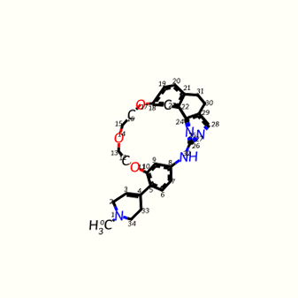 CN1CC=C(c2ccc3cc2OCCOCCOc2ccc4c(c2)-c2nc(ncc2CC4)N3)CC1